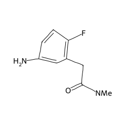 CNC(=O)Cc1cc(N)ccc1F